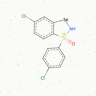 O=[SH]1(c2ccc(Cl)cc2)N[Se]c2cc(Cl)ccc21